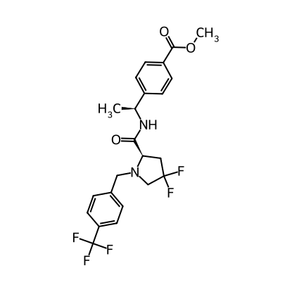 COC(=O)c1ccc([C@H](C)NC(=O)[C@H]2CC(F)(F)CN2Cc2ccc(C(F)(F)F)cc2)cc1